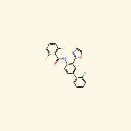 O=C(Nc1ccc(-c2ccccc2Cl)cc1-c1ncco1)c1c(F)cccc1F